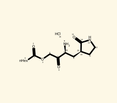 CCCCCCC(=O)OCC(=O)[C@@H](N)C[C@@H]1CCNC1=O.Cl